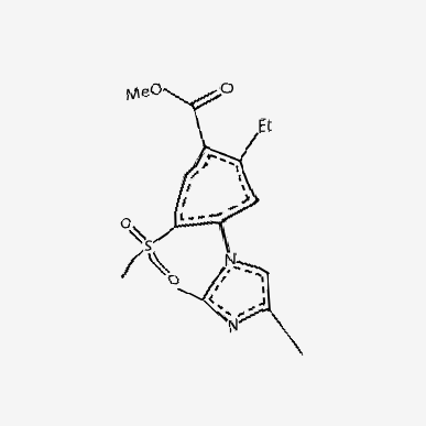 CCc1cc(-n2cc(C)nc2C)c(S(C)(=O)=O)cc1C(=O)OC